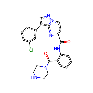 O=C(Nc1ccccc1C(=O)N1CCNCC1)c1ccn2ncc(-c3cccc(Cl)c3)c2n1